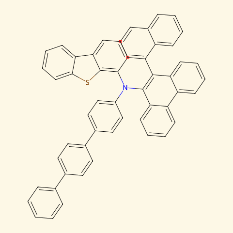 c1ccc(-c2ccc(-c3ccc(N(c4c(-c5cccc6ccccc56)c5ccccc5c5ccccc45)c4cccc5c4sc4ccccc45)cc3)cc2)cc1